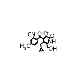 Cc1ccc(C(=O)c2c(CC3CC3)c(CO)[nH]c(=O)c2C(C)C)c(C#N)c1